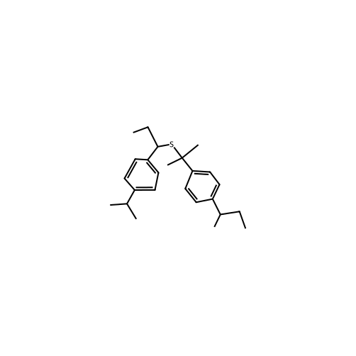 CCC(C)c1ccc(C(C)(C)SC(CC)c2ccc(C(C)C)cc2)cc1